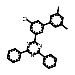 Cc1cc(C)cc(-c2cc(Cl)cc(-c3nc(-c4ccccc4)nc(-c4ccccc4)n3)c2)c1